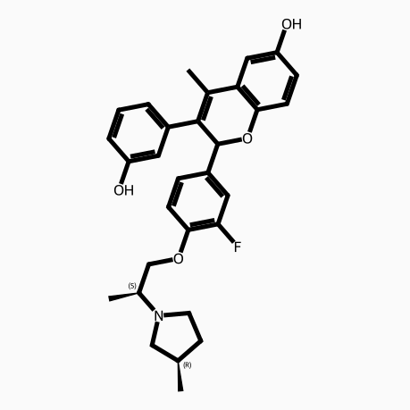 CC1=C(c2cccc(O)c2)C(c2ccc(OC[C@H](C)N3CC[C@@H](C)C3)c(F)c2)Oc2ccc(O)cc21